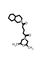 CC1CN(C(=O)CCCC(=O)N2CCC3CCCCC3C2)CC(C)O1